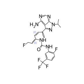 C=C(/C=C\C(=C/CF)NC(=O)Nc1cc(C(F)(F)F)ccc1F)c1nn(C(C)C)c2ncnc(N)c12